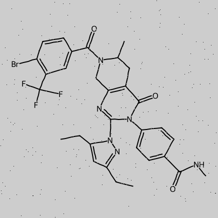 CCc1cc(CC)n(-c2nc3c(c(=O)n2-c2ccc(C(=O)NC)cc2)CC(C)N(C(=O)c2ccc(Br)c(C(F)(F)F)c2)C3)n1